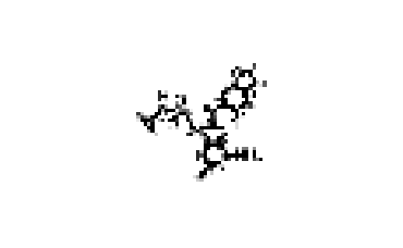 Nc1nc(F)nc2c1nc(Cc1cc3c(cc1I)CCO3)n2CCS(=O)(=O)NC1CC1